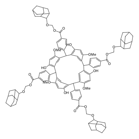 COc1cc(O)c2cc1C(c1ccc(C(=O)OCOC3C4CC5CC(C4)CC3C5)cc1)c1cc(c(OC)cc1O)C(c1ccc(C(=O)OCOC3C4CC5CC(C4)CC3C5)cc1)c1cc(c(OC)cc1O)C(c1ccc(C(=O)OCOC3C4CC5CC(C4)CC3C5)cc1)c1cc(c(OC)cc1O)C2c1ccc(C(=O)OCOC2C3CC4CC(C3)CC2C4)cc1